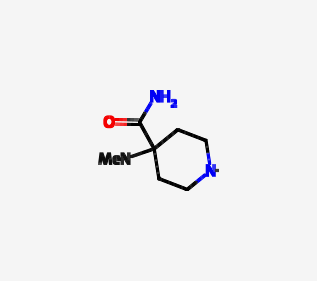 CNC1(C(N)=O)CC[N]CC1